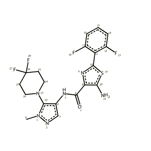 Cn1ncc(NC(=O)c2nc(-c3c(F)cccc3F)sc2N)c1N1CCC(F)(F)CC1